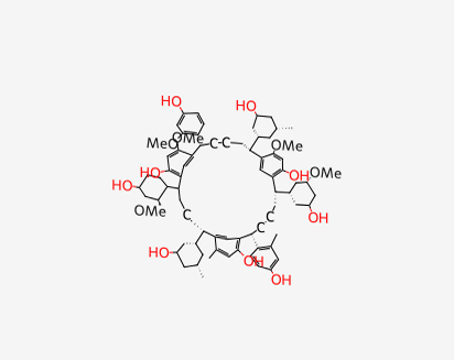 COc1cc(O)ccc1[C@@H]1CCC[C@H]([C@@H]2CC(O)C[C@H](C)C2)c2cc(c(O)cc2OC)[C@H]([C@H]2CC(O)C[C@@H](OC)C2)CCC[C@H](c2ccc(O)cc2C)c2cc(c(C)cc2O)[C@H]([C@H]2CC(O)C[C@@H](C)C2)CCCC(C2CCC(O)C[C@@H]2OC)c2cc1c(OC)cc2O